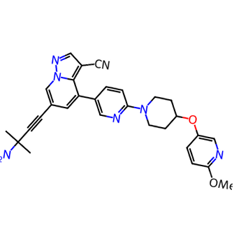 COc1ccc(OC2CCN(c3ccc(-c4cc(C#CC(C)(C)N)cn5ncc(C#N)c45)cn3)CC2)cn1